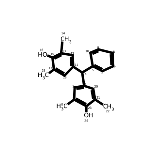 Cc1cc(C(c2ccccc2)c2cc(C)c(O)c(C)c2)cc(C)c1O